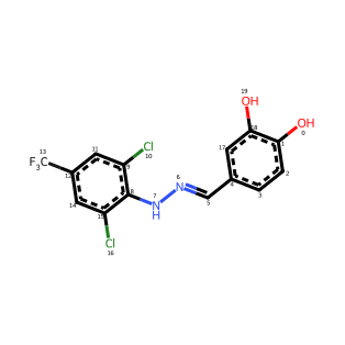 Oc1ccc(C=NNc2c(Cl)cc(C(F)(F)F)cc2Cl)cc1O